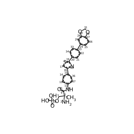 C[C@](N)(COP(=O)(O)O)C(=O)Nc1ccc(-c2csc(-c3ccc(-c4ccc5c(c4)OCO5)cc3)n2)cc1